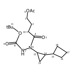 CC(=O)OCCCC(=O)N(NC(=O)OC(C)(C)C)C1CC1C1CCC1